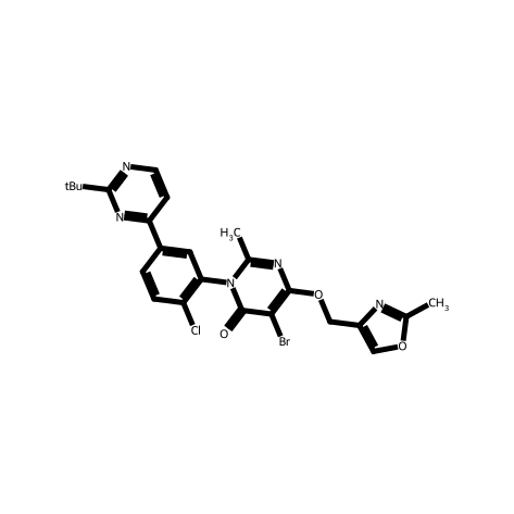 Cc1nc(COc2nc(C)n(-c3cc(-c4ccnc(C(C)(C)C)n4)ccc3Cl)c(=O)c2Br)co1